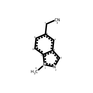 Cn1ncc2cc(CC#N)ccc21